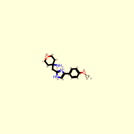 NC1(Cc2nc(-c3ccc(OC(F)(F)F)cc3)c[nH]2)CCOCC1